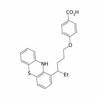 CCC(CCCOc1ccc(C(=O)O)cc1)c1cccc2c1Nc1ccccc1S2